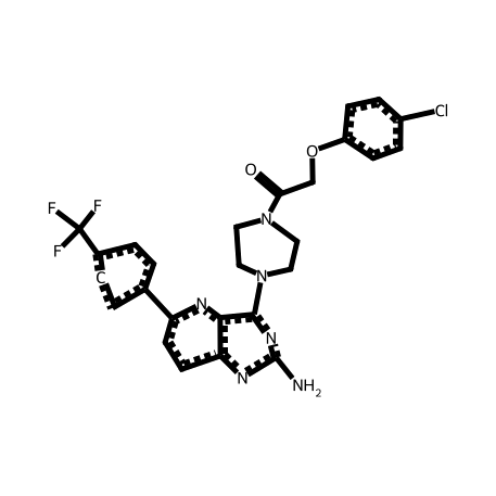 Nc1nc(N2CCN(C(=O)COc3ccc(Cl)cc3)CC2)c2nc(-c3ccc(C(F)(F)F)cc3)ccc2n1